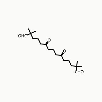 CC(C)(C=O)CCCC(=O)CCCC(=O)CCCC(C)(C)C=O